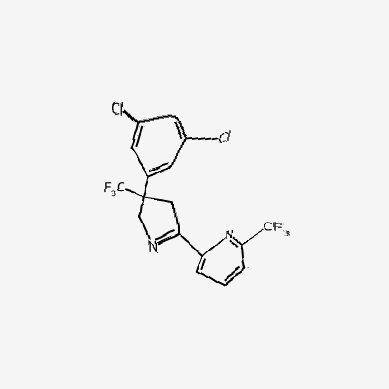 FC(F)(F)c1[c]ccc(C2=NCC(c3cc(Cl)cc(Cl)c3)(C(F)(F)F)C2)n1